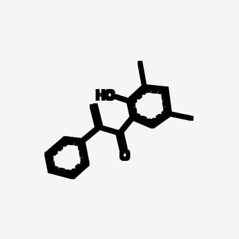 C=C(C(=O)c1cc(C)cc(C)c1O)c1ccccc1